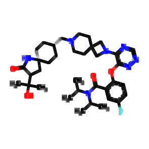 CC(C)N(C(=O)c1cc(F)ccc1Oc1nncnc1N1CC2(CCN(C[C@H]3CC[C@]4(CC3)CC(C(C)(C)O)C(=O)N4)CC2)C1)C(C)C